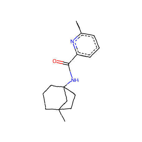 Cc1cccc(C(=O)NC23CCCC(C)(CC2)C3)n1